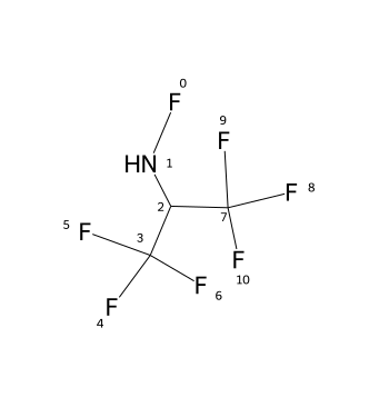 FNC(C(F)(F)F)C(F)(F)F